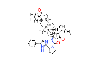 CC(C)C1=C2[C@H]3CC[C@@H]4[C@@]5(C)CC[C@H](O)C(C)(C)[C@@H]5CC[C@@]4(C)[C@]3(C)CC[C@@]2(NC(=O)N2CCCC2c2ncc(-c3ccccc3)[nH]2)CC1=O